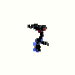 CCNc1nc(Nc2ccc3cn[nH]c3c2)ncc1C#CCCCNC(=O)[C@H](C)N(C)C(=O)/C=C/CN(C)C